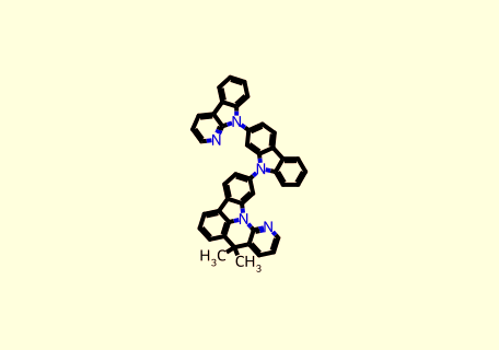 CC1(C)c2cccnc2-n2c3cc(-n4c5ccccc5c5ccc(-n6c7ccccc7c7cccnc76)cc54)ccc3c3cccc1c32